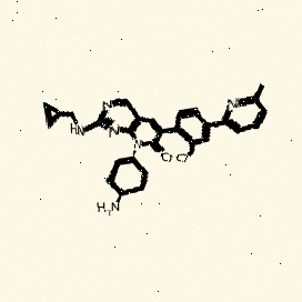 Cc1cccc(-c2ccc(-c3cc4cnc(NCC5CC5)nc4n([C@H]4CC[C@H](N)CC4)c3=O)c(Cl)c2)n1